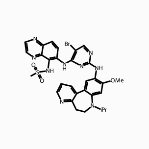 COc1cc2c(cc1Nc1ncc(Br)c(Nc3ccc4nccnc4c3NS(C)(=O)=O)n1)-c1cccnc1CCN2C(C)C